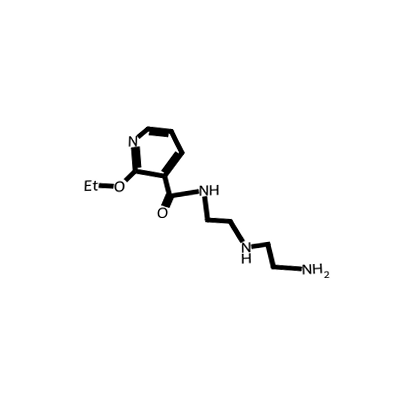 CCOc1ncccc1C(=O)NCCNCCN